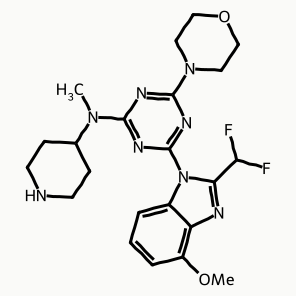 COc1cccc2c1nc(C(F)F)n2-c1nc(N2CCOCC2)nc(N(C)C2CCNCC2)n1